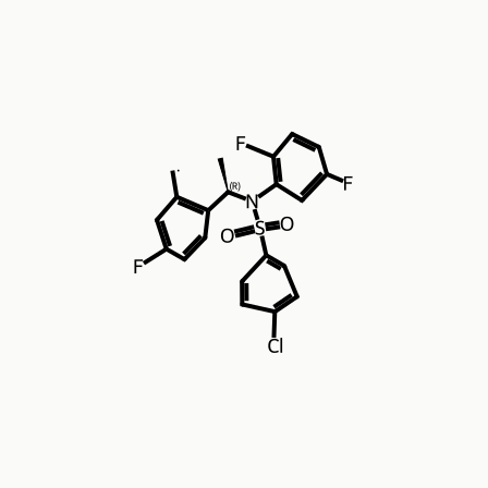 [CH2]c1cc(F)ccc1[C@@H](C)N(c1cc(F)ccc1F)S(=O)(=O)c1ccc(Cl)cc1